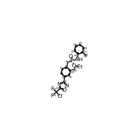 CCOP(=O)(Cc1ccc(-c2noc(C(F)(F)Cl)n2)cc1F)Nc1ccccc1F